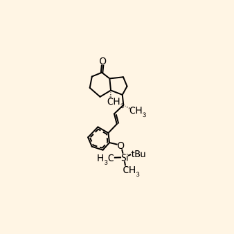 C[C@H](/C=C/c1ccccc1O[Si](C)(C)C(C)(C)C)C1CCC2C(=O)CCC[C@@]21C